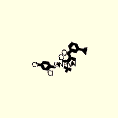 CC(C)(C)n1ncc(C(=O)c2cccc(C3CC3)c2)c1C(=O)NOCc1ccc(Cl)cc1Cl